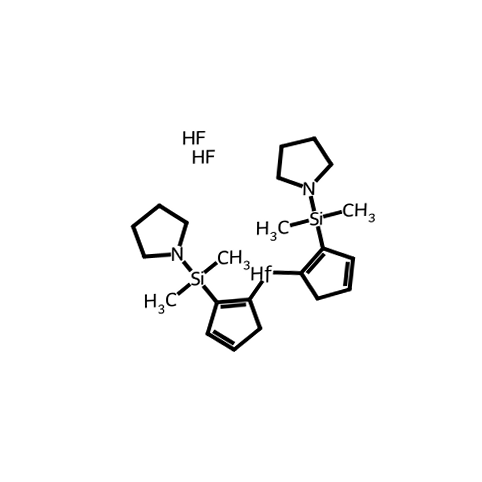 C[Si](C)(C1=[C]([Hf][C]2=C([Si](C)(C)N3CCCC3)C=CC2)CC=C1)N1CCCC1.F.F